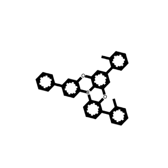 Cc1ccccc1-c1cc2c3c(c1)Oc1c(cccc1-c1ccccc1C)B3c1ccc(-c3ccccc3)cc1O2